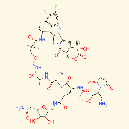 CC[C@@]1(O)C(=O)OCc2c1cc1n(c2=O)Cc2c-1nc1cc(F)c(C)c3c1c2[C@@H](NC(=O)C(C)(C)COCNC(=O)[C@H](C)NC(=O)[C@@H](NC(=O)[C@H](CCC(=O)NC[C@H]1O[C@@H](CC(N)=O)[C@H](O)[C@@H]1O)NC(=O)CCOC[C@H](CN)N1C(=O)C=CC1=O)C(C)C)CC3